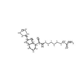 NC(=O)OCCCCCCNC(=O)c1cccc2sc(N3CCOCC3)nc12